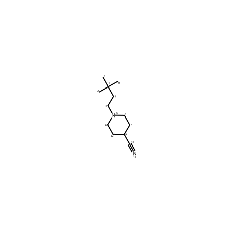 CC(C)(C)CCN1CCC(C#N)CC1